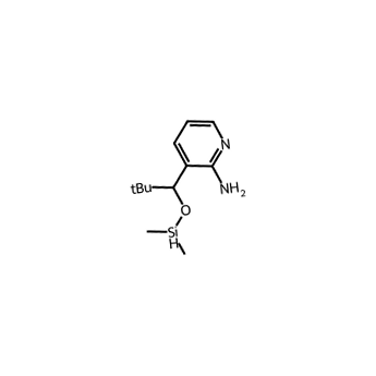 C[SiH](C)OC(c1cccnc1N)C(C)(C)C